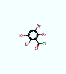 O=C(Cl)c1c(Br)c(Br)cc(Br)c1Br